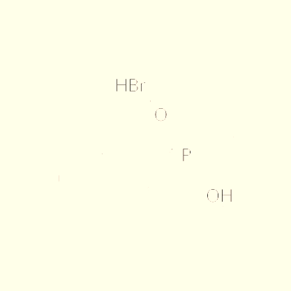 Br.CCCP(C)(=O)O